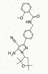 COc1ccccc1C(=O)NCc1ccc(-c2nn(C3CC(C)(C)OC3(C)C)c(N)c2C#N)cc1